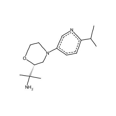 CC(C)c1ccc(N2CCO[C@@H](C(C)(C)N)C2)cn1